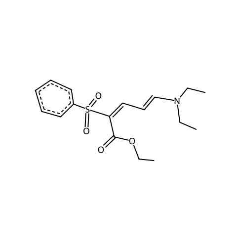 CCOC(=O)C(=CC=CN(CC)CC)S(=O)(=O)c1ccccc1